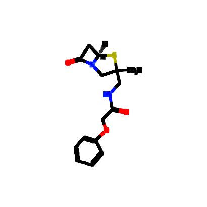 O=C(COc1ccccc1)NCC1(C(=O)O)CN2C(=O)C[C@H]2S1